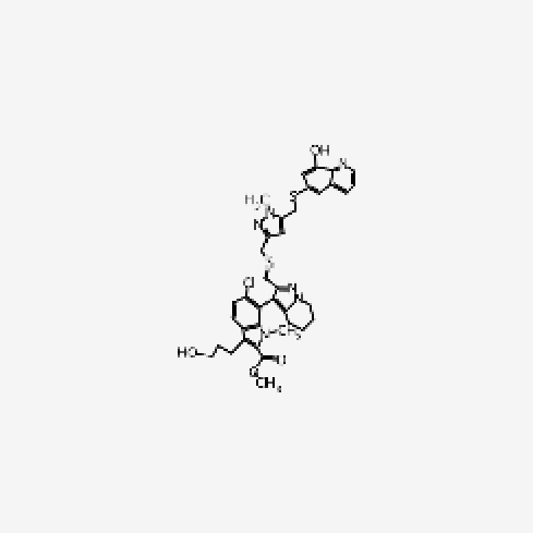 COC(=O)c1c(CCCO)c2ccc(Cl)c(-c3c(CSCc4cc(CSc5cc(O)c6ncccc6c5)n(C)n4)nn4c3CCCC4)c2n1C